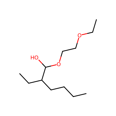 CCCCC(CC)C(O)OCCOCC